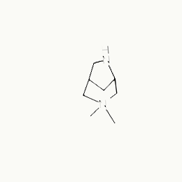 C[N+]1(C)CC2CNC(C2)C1